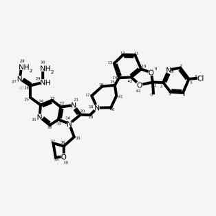 CC1(c2ccc(Cl)cn2)Oc2cccc(C3CCN(Cc4nc5cc(C/C(=N/N)NN)ncc5n4CC4CCO4)CC3)c2O1